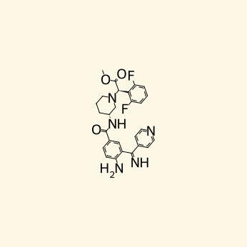 COC(=O)[C@@H](c1c(F)cccc1F)N1CCC[C@@H](NC(=O)c2ccc(N)c(C(=N)c3ccncc3)c2)C1